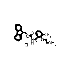 C[C@@H](NC(=O)OCC1c2ccccc2-c2ccccc21)c1cccc(C(F)(F)F)c1OCCN.Cl